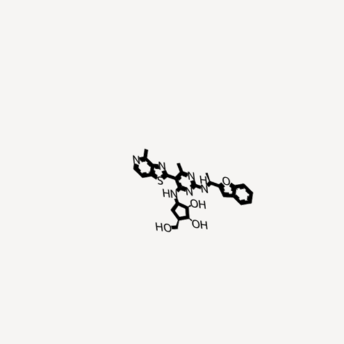 Cc1nc(N[C@@H](C)c2cc3ccccc3o2)nc(NC2C[C@H](CO)[C@@H](O)[C@H]2O)c1-c1nc2c(C)nccc2s1